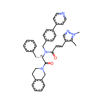 Cc1c(C=CC(=O)N(Cc2ccc(-c3ccncc3)cc2)[C@@H](Cc2ccccc2)C(=O)N2CCc3ccccc3C2)cnn1C